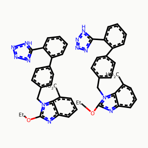 CCOc1nc2cccc(C(=O)O)c2n1Cc1ccc(-c2ccccc2-c2nnn[nH]2)cc1.CCOc1nc2cccc(C(=O)O)c2n1Cc1ccc(-c2ccccc2-c2nnn[nH]2)cc1